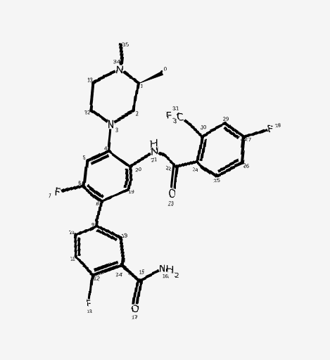 C[C@H]1CN(c2cc(F)c(-c3ccc(F)c(C(N)=O)c3)cc2NC(=O)c2ccc(F)cc2C(F)(F)F)CCN1C